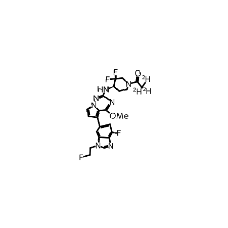 [2H]C([2H])([2H])C(=O)N1CC[C@@H](Nc2nc(OC)c3c(-c4cc(F)c5ncn(CCF)c5c4)ccn3n2)C(F)(F)C1